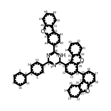 c1ccc(-c2ccc(C3=NC(c4ccc(-c5cccc6oc7ccccc7c56)c5oc6ccccc6c45)NC(c4ccc5c(c4)oc4ccccc45)=N3)cc2)cc1